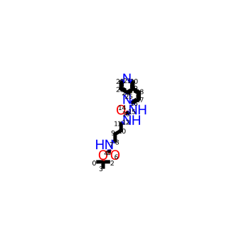 CC(C)(C)OC(=O)NCCCCNC(=O)Nc1ccc2cnccc2n1